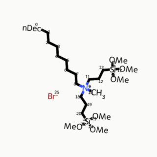 CCCCCCCCCCCCCCCCCC[N+](C)(CCC[Si](OC)(OC)OC)CCC[Si](OC)(OC)OC.[Br-]